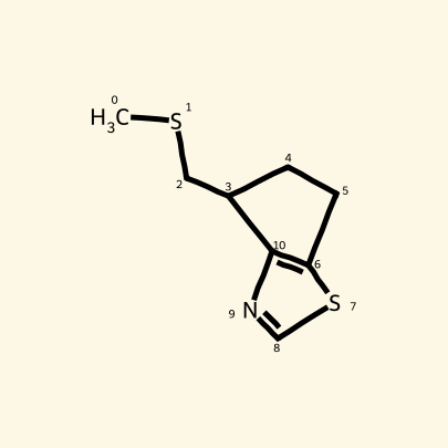 CSCC1CCc2scnc21